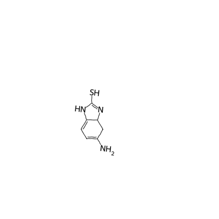 NC1=CC=C2NC(S)=NC2C1